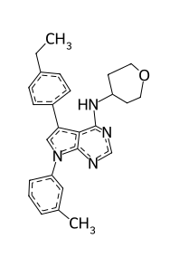 CCc1ccc(-c2cn(-c3cccc(C)c3)c3ncnc(NC4CCOCC4)c23)cc1